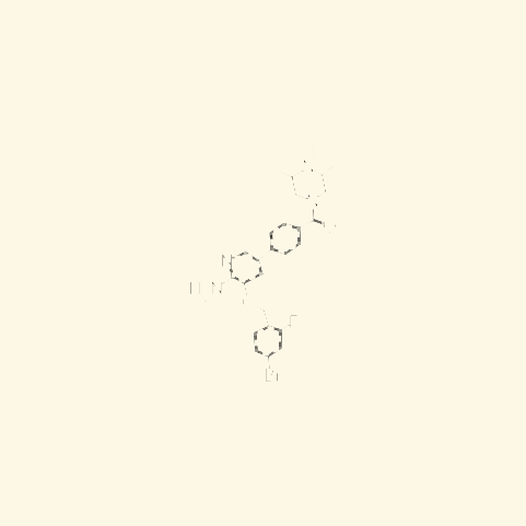 CC1CN(C(=O)c2ccc(-c3cnc(N)c(OCc4ccc(Br)cc4F)c3)cc2)CC(C)N1